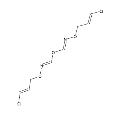 ClC=CCON=COC=NOCC=CCl